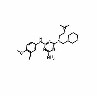 COc1ccc(Nc2nc(N)nc(N(CCN(C)C)CC3CCCCC3)n2)cc1F